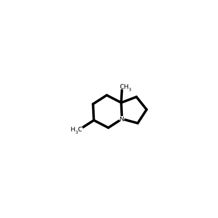 CC1CCC2(C)CCCN2C1